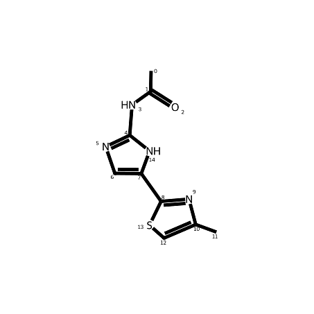 CC(=O)Nc1ncc(-c2nc(C)cs2)[nH]1